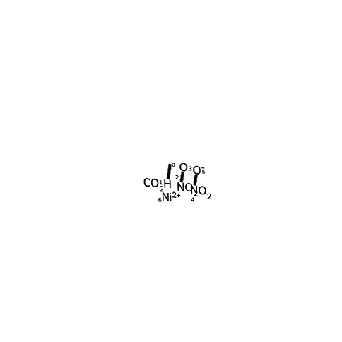 CC(=O)O.O=[N+]([O-])[O-].O=[N+]([O-])[O-].[Ni+2]